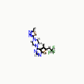 Cc1nnc(N2CCN(c3ncnc4sc(CC(F)(F)F)c(C)c34)CC2)s1